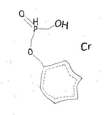 O=[PH](O)Oc1ccccc1.[Cr]